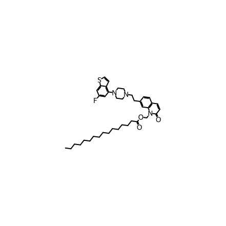 CCCCCCCCCCCCCCCC(=O)OCn1c(=O)ccc2ccc(CCN3CCN(c4cc(F)cc5sccc45)CC3)cc21